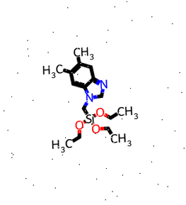 CCO[Si](CN1CN=C2CC(C)=C(C)C=C21)(OCC)OCC